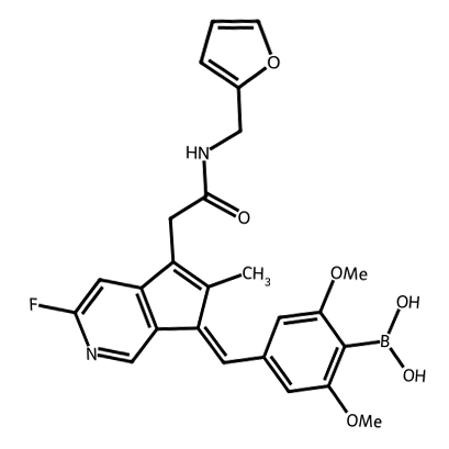 COc1cc(C=C2C(C)=C(CC(=O)NCc3ccco3)c3cc(F)ncc32)cc(OC)c1B(O)O